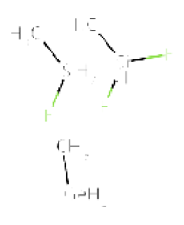 C[SiH2]F.C[SiH](F)F.[CH3][GeH3]